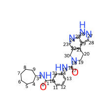 O=C(NC1CCCCCC1)c1cccc(NC(=O)N2CCc3c(cnc4[nH]ncc34)C2)c1